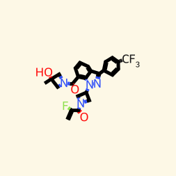 C=C(F)C(=O)N1CC(n2nc(-c3ccc(C(F)(F)F)cc3)c3cccc(C(=O)N4CC(C)(O)C4)c32)C1